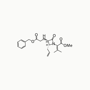 C=CC[C@@H]1[C@@H](NCC(=O)OCc2ccccc2)C(=O)N1C(C(=O)OC)=C(C)C